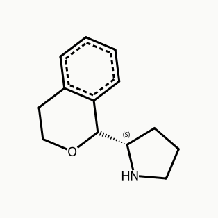 c1ccc2c(c1)CCOC2[C@@H]1CCCN1